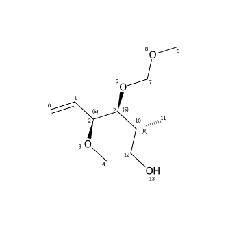 C=C[C@H](OC)[C@@H](OCOC)[C@H](C)CO